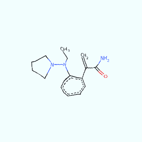 C=C(C(N)=O)c1ccccc1N(CC)N1CCCC1